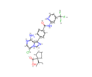 CC(C)[C@]1(C(=O)O)CC[C@@H](c2nc(-c3ccc(C(=O)Nc4cc(C(F)(F)F)ccn4)cc3)c3c(N)ncc(Cl)n23)C1